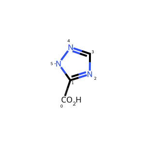 O=C(O)C1=NC=N[N]1